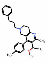 Cc1ccc(-c2c3c(nc(C)c2C(C)OC(C)(C)C)CCN(CCCc2ccccc2)C3)cc1